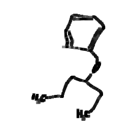 CCCC(CC)Oc1[c]cccc1